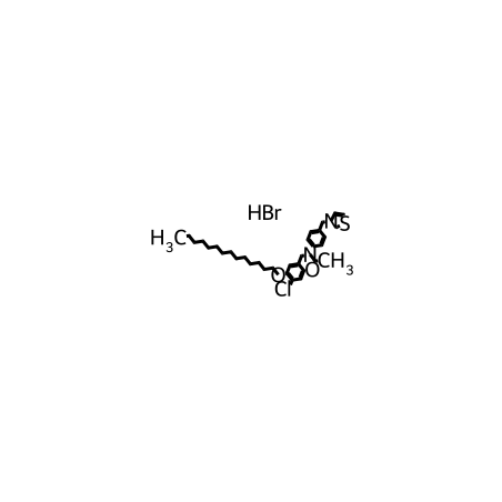 Br.CCCCCCCCCCCCCCOc1cc(CN(C(C)=O)c2ccc(CN3C=CSC3)cc2)ccc1Cl